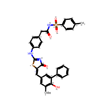 COc1cc(/C=C2/SC(Nc3ccc(CC(=O)NS(=O)(=O)c4ccc(C)cc4)cc3)=NC2=O)cc(-c2ccccc2)c1O